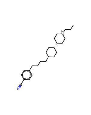 CCC[SiH]1CCC([C@H]2CC[C@H](CCCCc3ccc(C#N)cc3)CC2)CC1